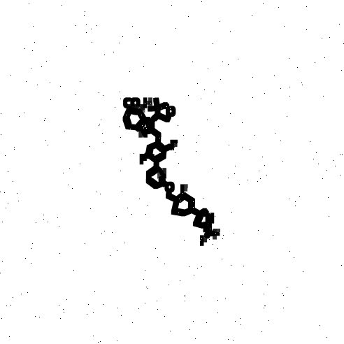 CC1(C)COCC1n1c(Cc2cc(F)c(-c3cccc(OCc4ccc(-c5cnn(C(F)F)c5)cc4F)n3)cc2F)nc2ccc(C(=O)O)cc21